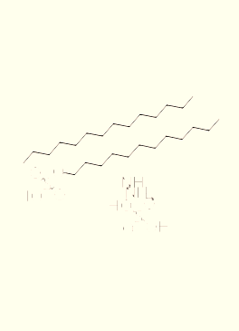 CCCCCCCCCCCCCC.CCCCCCCCCCCCOS(=O)(=O)O.N.N.O=S(=O)(O)O